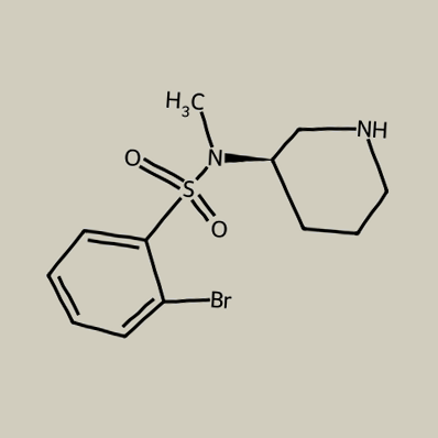 CN([C@@H]1CCCNC1)S(=O)(=O)c1ccccc1Br